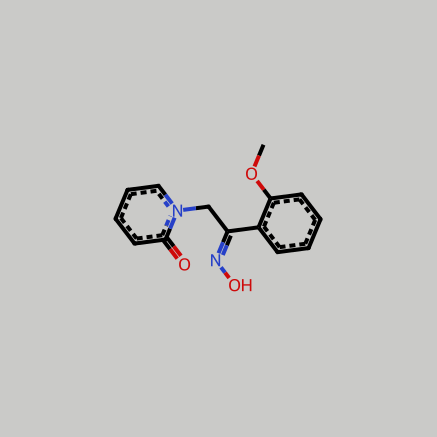 COc1ccccc1C(Cn1ccccc1=O)=NO